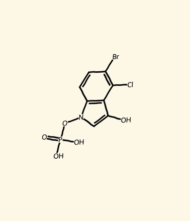 O=P(O)(O)On1cc(O)c2c(Cl)c(Br)ccc21